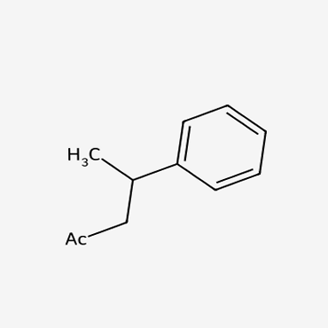 CC(=O)CC(C)c1ccccc1